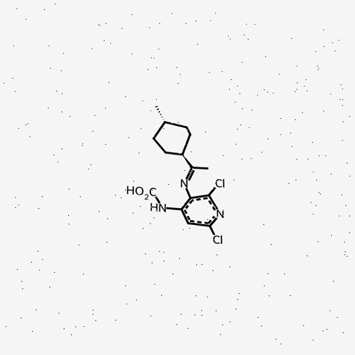 CC(=Nc1c(NC(=O)O)cc(Cl)nc1Cl)[C@H]1CC[C@H](C)CC1